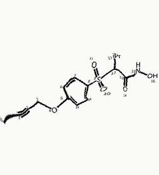 CC#CCOc1ccc(S(=O)(=O)C(C(=O)NO)C(C)C)cc1